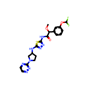 COC(C(=O)Nc1nnc(NC2CCN(c3nccnn3)C2)s1)c1cccc(OC(F)F)c1